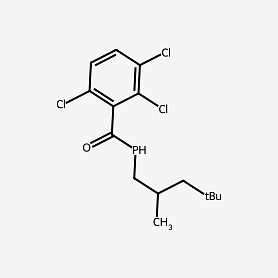 CC(CPC(=O)c1c(Cl)ccc(Cl)c1Cl)CC(C)(C)C